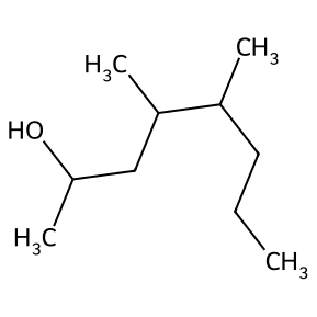 CCCC(C)C(C)CC(C)O